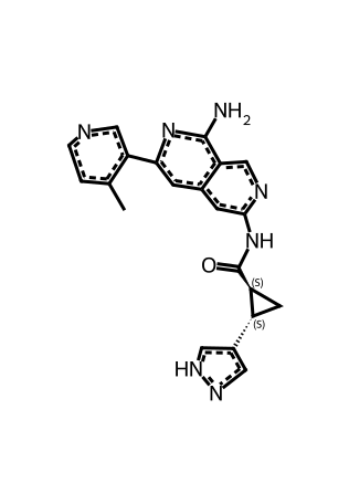 Cc1ccncc1-c1cc2cc(NC(=O)[C@H]3C[C@@H]3c3cn[nH]c3)ncc2c(N)n1